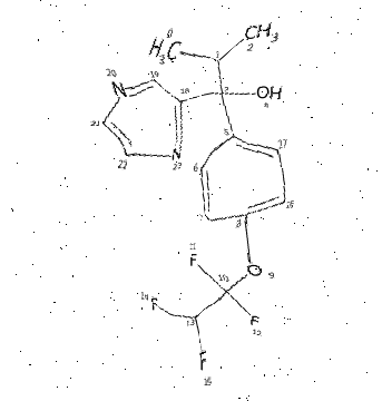 CC(C)C(O)(c1ccc(OC(F)(F)C(F)F)cc1)c1cnccn1